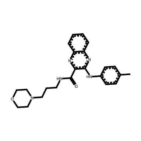 Cc1ccc(Nc2nc3ccccc3nc2C(=O)NCCCN2CCOCC2)cc1